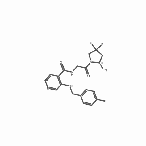 N#C[C@@H]1CC(F)(F)CN1C(=O)CNC(=O)c1ccncc1NCc1ccc(F)cc1